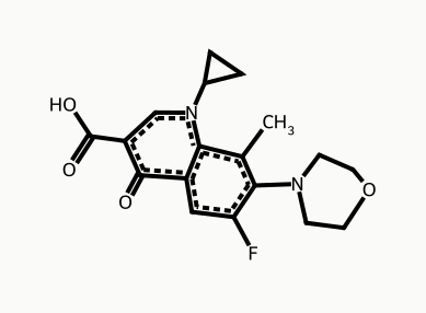 Cc1c(N2CCOCC2)c(F)cc2c(=O)c(C(=O)O)cn(C3CC3)c12